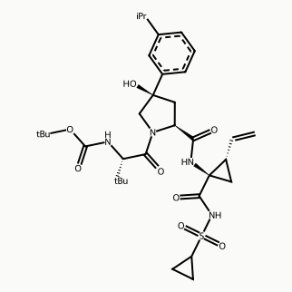 C=C[C@@H]1C[C@]1(NC(=O)[C@@H]1C[C@@](O)(c2cccc(C(C)C)c2)CN1C(=O)[C@@H](NC(=O)OC(C)(C)C)C(C)(C)C)C(=O)NS(=O)(=O)C1CC1